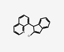 [Cr][C]1=Cc2ccccc2C1c1cccc2cccnc12